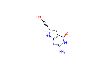 Nc1nc2[nH]c(C#CO)cc2c(=O)[nH]1